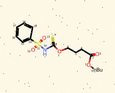 CCCCOC(=O)CCCOC(=S)NS(=O)(=O)c1ccccc1